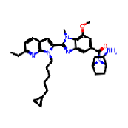 CCc1ccc2cc(-c3nc4cc(C(=O)N5C6CCC5C(N)C6)cc(OC)c4n3C)n(CCCCCC3CC3)c2n1